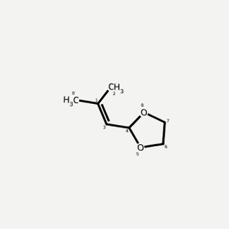 CC(C)=CC1OCCO1